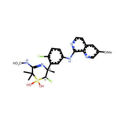 COc1cnc2c(Nc3ccc(F)c([C@@]4(C)N=C(NC(=O)O)C(C)(C)S(O)(O)[C@@H]4F)c3)nccc2c1